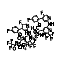 COc1cc(F)ccc1-c1cc(Nc2cc(CS(C)(=N)=O)cc(C(F)(F)F)n2)ncc1F.COc1cc(F)ccc1-c1cc(Nc2cc(C[SH](C)(O)=NC(=O)C(F)(F)F)cc(C(F)(F)F)n2)ncc1F